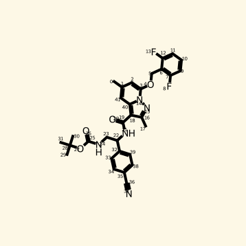 Cc1cc(OCc2c(F)cccc2F)n2nc(C)c(C(=O)NC(CNC(=O)OC(C)(C)C)c3ccc(C#N)cc3)c2c1